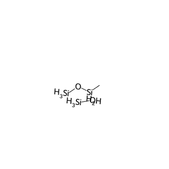 C[SiH2]O[SiH3].O[SiH3]